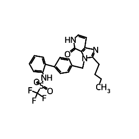 CCCCc1nc2cc[nH]c(=O)c2n1Cc1ccc(-c2ccccc2NS(=O)(=O)C(F)(F)F)cc1